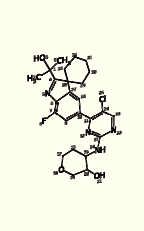 CC(C)(O)C1=Nc2c(F)cc(-c3nc(NC4CCOCC4O)ncc3Cl)cc2C12CCCCC2